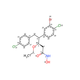 CCO[C@H](CC(=O)NO)C(Cc1ccc(Cl)cc1)c1ccc(Cl)c(Br)c1